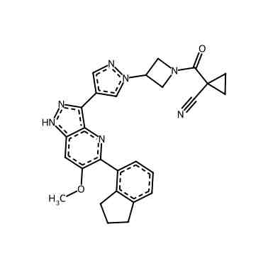 COc1cc2[nH]nc(-c3cnn(C4CN(C(=O)C5(C#N)CC5)C4)c3)c2nc1-c1cccc2c1CCC2